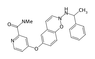 CNC(=O)c1cc(Oc2ccc3c(c2)C=CN(NC(C)c2ccccc2)O3)ccn1